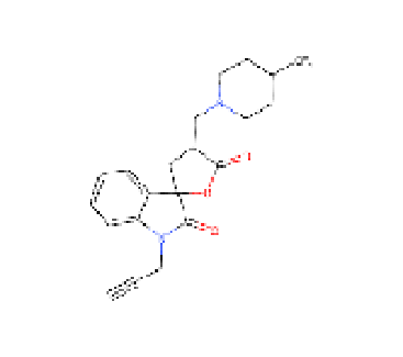 C#CCN1C(=O)C2(CC(CN3CCC(C(F)(F)F)CC3)C(=O)O2)c2ccccc21